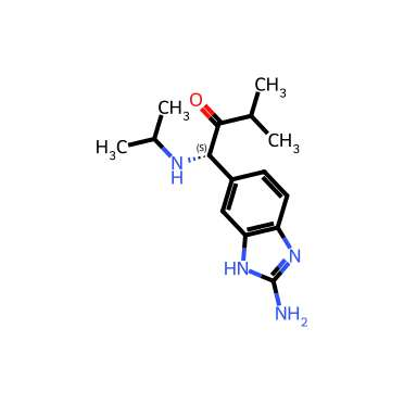 CC(C)N[C@H](C(=O)C(C)C)c1ccc2nc(N)[nH]c2c1